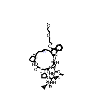 C=C[C@@H]1C[C@]1(NC(=O)[C@@H]1C[C@@H]2CN1C(=O)[C@H](C1CCCC1)NC(=O)O[C@@H]1CCC[C@H]1CC/C=C/Cc1c(nc3ccccc3c1OCCCOCCOC)O2)C(=O)NS(=O)(=O)C1CC1